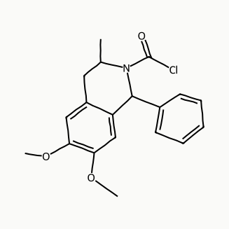 COc1cc2c(cc1OC)C(c1ccccc1)N(C(=O)Cl)C(C)C2